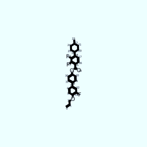 C=CCOc1ccc(-c2ccc(OC(=O)c3ccc(C4CCC(C)CC4)c(F)c3F)cc2)cc1F